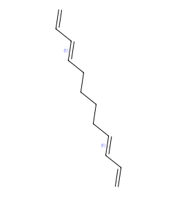 C=C/C=C/CCCC/C=C/C=C